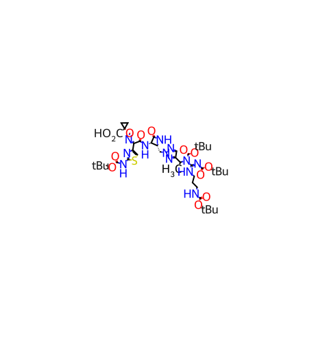 CC(c1cnn(C[C@H]2NC(=O)[C@H]2NC(=O)/C(=N\OC2(C(=O)O)CC2)c2csc(NC(=O)OC(C)(C)C)n2)n1)N(C(=O)OC(C)(C)C)/C(=N/C(=O)OC(C)(C)C)NCCCNC(=O)OC(C)(C)C